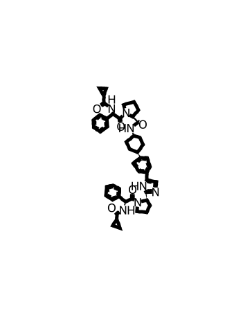 O=C(N[C@@H](C(=O)N1CCC[C@H]1C(=O)N[C@H]1CC[C@@H](c2ccc(-c3cnc([C@@H]4CCCN4C(=O)[C@H](NC(=O)C4CC4)c4ccccc4)[nH]3)cc2)CC1)c1ccccc1)C1CC1